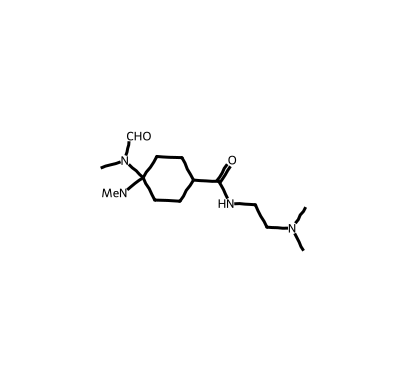 CNC1(N(C)C=O)CCC(C(=O)NCCN(C)C)CC1